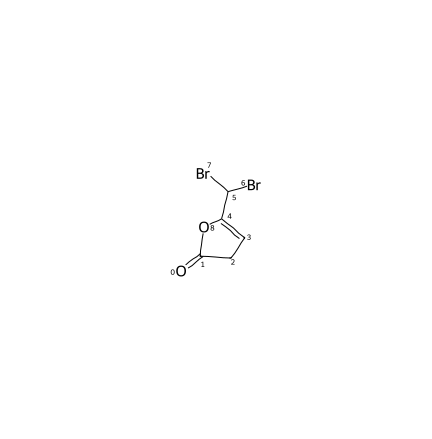 O=C1CC=C(C(Br)Br)O1